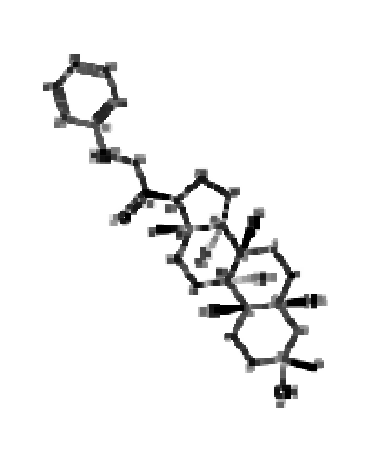 C[C@@]1(O)CC[C@H]2[C@H](CC[C@@H]3[C@@H]2CC[C@]2(C)[C@@H](C(=O)CNc4ccccc4)CC[C@@H]32)C1